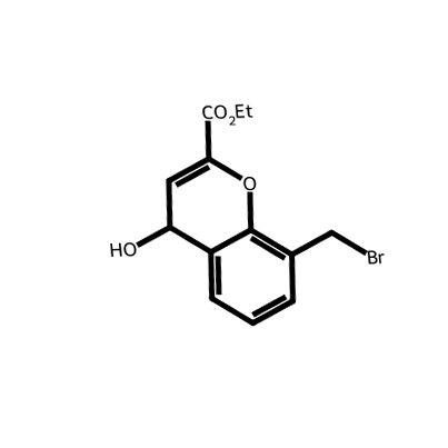 CCOC(=O)C1=CC(O)c2cccc(CBr)c2O1